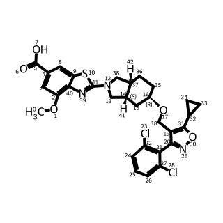 COc1cc(C(=O)O)cc2sc(N3C[C@H]4C[C@H](OCc5c(-c6c(Cl)cccc6Cl)noc5C5CC5)CC[C@H]4C3)nc12